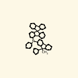 CC1(c2ccccc2)c2ccccc2-c2ccc(N(c3ccccc3)c3cccc4c3-c3ccccc3C43c4ccccc4-c4ccccc43)cc21